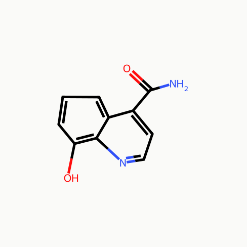 NC(=O)c1ccnc2c(O)cccc12